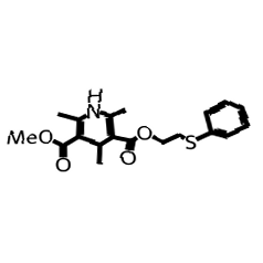 COC(=O)C1=C(C)NC(C)=C(C(=O)OCCSc2ccccc2)C1C